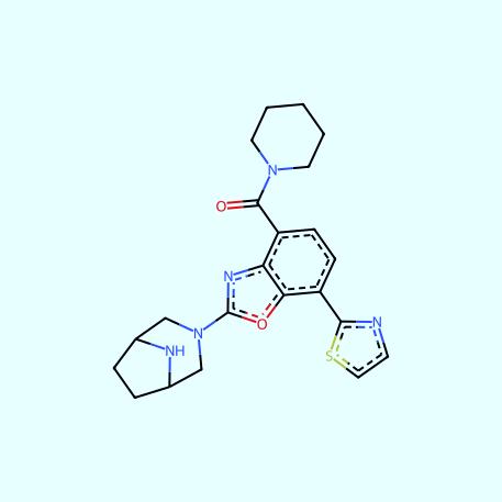 O=C(c1ccc(-c2nccs2)c2oc(N3CC4CCC(C3)N4)nc12)N1CCCCC1